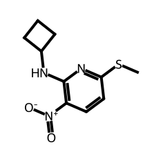 CSc1ccc([N+](=O)[O-])c(NC2CCC2)n1